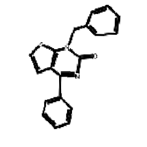 O=c1nc(-c2ccccc2)c2ccsc2n1Cc1ccccc1